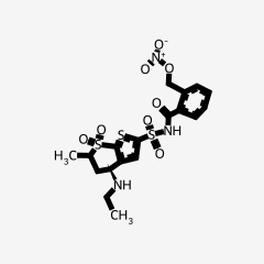 CCN[C@H]1CC(C)S(=O)(=O)c2sc(S(=O)(=O)NC(=O)c3ccccc3CO[N+](=O)[O-])cc21